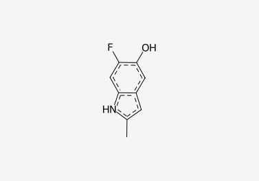 Cc1cc2cc(O)c(F)cc2[nH]1